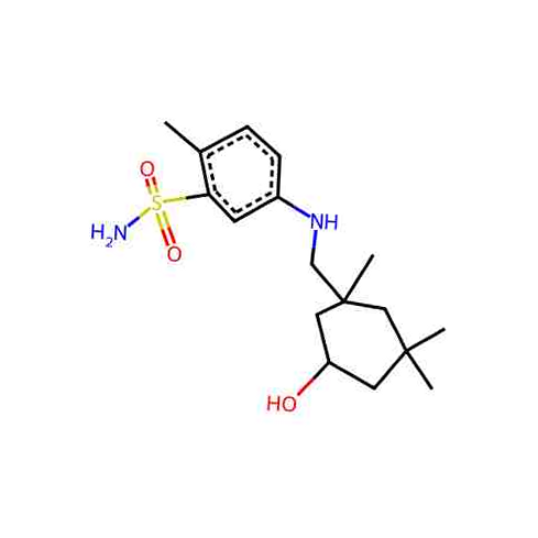 Cc1ccc(NCC2(C)CC(O)CC(C)(C)C2)cc1S(N)(=O)=O